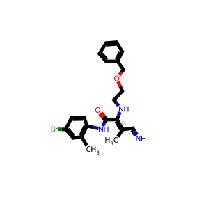 C/C(C=N)=C(/NCCOCc1ccccc1)C(=O)Nc1ccc(Br)cc1C